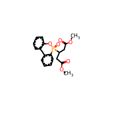 COC(=O)CC(CC(=O)OC)P1(=O)Oc2ccccc2-c2ccccc21